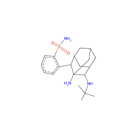 CC(C)(C)NC1C2CC3CC(C2)C(c2ccccc2S(N)(=O)=O)C1(N)C3